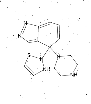 C1=CC(N2CCNCC2)(N2NC=CS2)C2=CN=NC2=C1